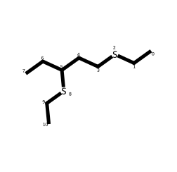 CCSCCC(CC)SCC